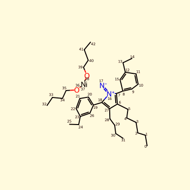 CCCCCCC1=C(c2cccc(CC)c2)[N+](=[N-])C(c2cccc(CC)c2)=C1CCCC.CCCC[O][Ni][O]CCCC